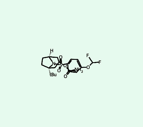 CC(C)(C)[C@@]12CC[C@@H](C[C@H](OC(N)=O)C1)N2S(=O)(=O)c1ccc(OC(F)F)cc1